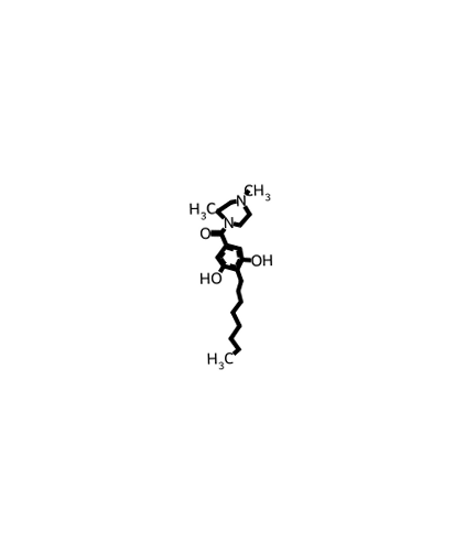 CCCCCCCCc1c(O)cc(C(=O)N2CCN(C)CC2C)cc1O